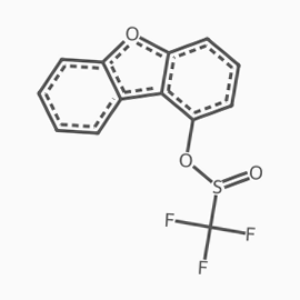 O=S(Oc1cccc2oc3ccccc3c12)C(F)(F)F